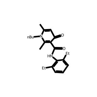 CCCCn1c(C)cc(=O)c(C(=O)Nc2c(CC)cccc2CC)c1C